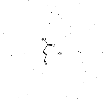 C=CC=CC(=O)O.[KH]